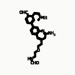 CCN(C)/C=C\C1C=C(c2ccc3c(c2)N=C(N)CC(CCOCCNC=O)=C3)C=CC1C=O